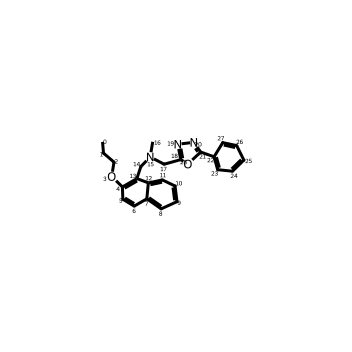 CCCOc1ccc2ccccc2c1CN(C)Cc1nnc(-c2ccccc2)o1